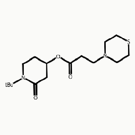 CC(C)(C)N1CCC(OC(=O)CCN2CCSCC2)CC1=O